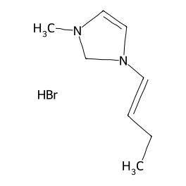 Br.CCC=CN1C=CN(C)C1